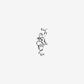 CC(=O)O[C@H]1CC[C@H]2[C@@H]3CCC4=C/C(=N/O)CC[C@]4(C)[C@H]3C(=O)C[C@]12C